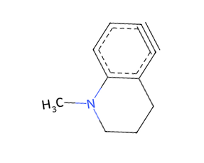 CN1CCCc2c#cccc21